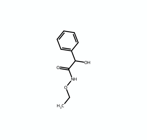 CCONC(=O)C(O)c1ccccc1